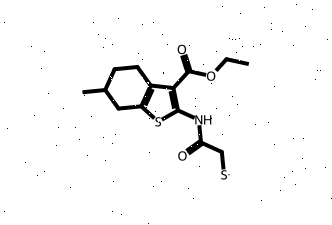 CCOC(=O)c1c(NC(=O)C[S])sc2c1CCC(C)C2